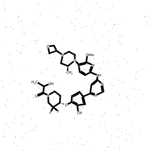 COc1nc(Nc2cc(-c3ccc(O[C@H]4CCN(C(=O)C(C)O)CC4(F)F)c(C#N)c3)ncn2)ccc1N1CCN(C2COC2)C[C@@H]1C